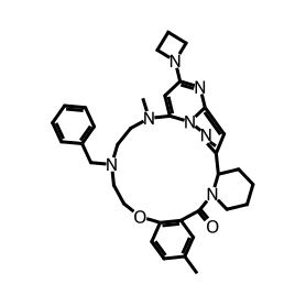 Cc1ccc2c(c1)C(=O)N1CCCCC1c1cc3nc(N4CCC4)cc(n3n1)N(C)CCN(Cc1ccccc1)CCO2